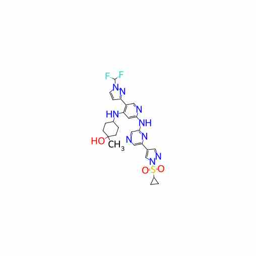 CC1(O)CCC(Nc2cc(Nc3cncc(-c4cnn(S(=O)(=O)C5CC5)c4)n3)ncc2-c2ccn(C(F)F)n2)CC1